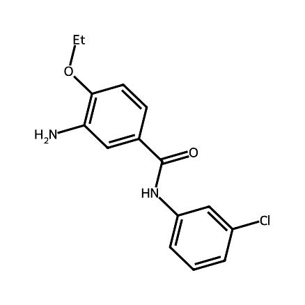 CCOc1ccc(C(=O)Nc2cccc(Cl)c2)cc1N